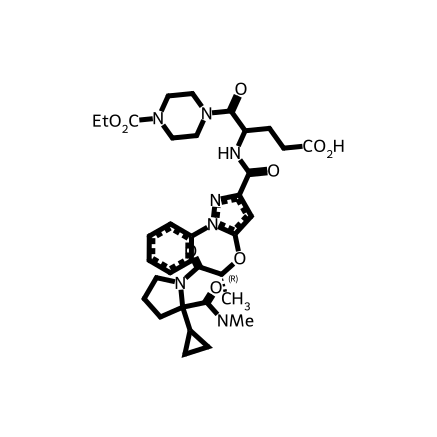 CCOC(=O)N1CCN(C(=O)C(CCC(=O)O)NC(=O)c2cc(O[C@H](C)C(=O)N3CCCC3(C(=O)NC)C3CC3)n(-c3ccccc3)n2)CC1